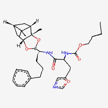 CCCCOC(=O)NC(Cc1cnco1)C(=O)N[C@@H](CCCc1ccccc1)B1O[C@@H]2C[C@@H]3C[C@@H](C3(C)C)[C@]2(C)O1